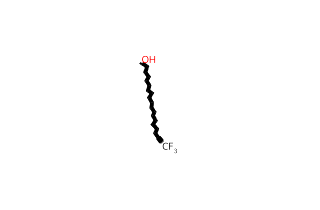 OCCCCCCCCCCCCCCCCCC#CC(F)(F)F